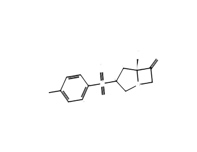 Cc1ccc(S(=O)(=O)C2C[C@@H]3C(=O)CN3C2)cc1